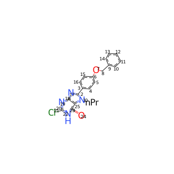 CCCn1c(-c2ccc(OCc3ccccc3)cc2)nc2nc(Cl)[nH]c(=O)c21